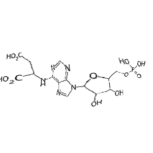 O=C(O)CC(Nc1ncnc2c1ncn2C1OC(COP(=O)(O)O)C(O)C1O)C(=O)O